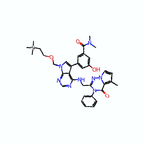 Cc1ccn2nc(CNc3ncnc4c3c(-c3cc(O)cc(C(=O)N(C)C)c3)cn4COCC[Si](C)(C)C)n(-c3ccccc3)c(=O)c12